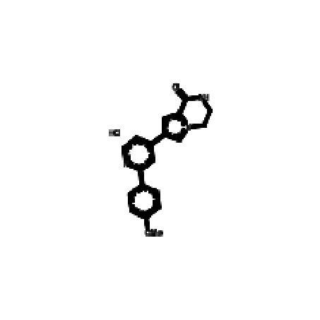 COc1ccc(-c2cc(-c3cc4n(c3)CCNC4=O)ccn2)cc1.Cl